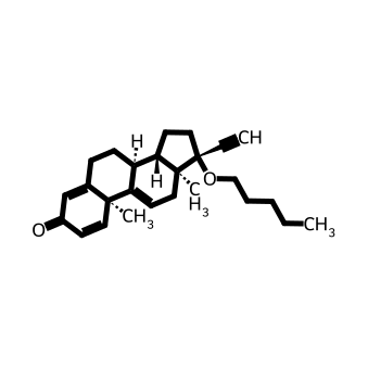 C#C[C@]1(OCCCCC)CC[C@H]2[C@@H]3CCC4=CC(=O)C=C[C@]4(C)C3=CC[C@@]21C